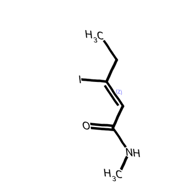 CC/C(I)=C/C(=O)NC